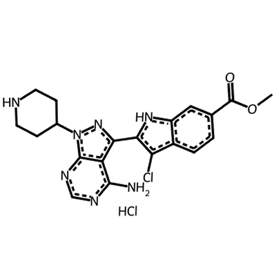 COC(=O)c1ccc2c(Cl)c(-c3nn(C4CCNCC4)c4ncnc(N)c34)[nH]c2c1.Cl